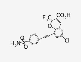 NS(=O)(=O)c1ccc(C#Cc2cc(Cl)cc3c2OC(C(F)(F)F)C(C(=O)O)=C3)cc1